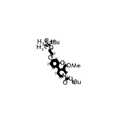 COC(=O)C1CN(C(=O)OC(C)(C)C)CCC1c1ccc(OCCO[Si](C)(C)C(C)(C)C)cc1